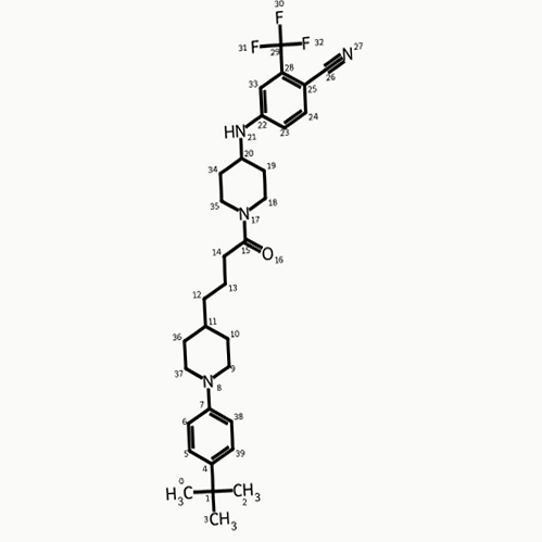 CC(C)(C)c1ccc(N2CCC(CCCC(=O)N3CCC(Nc4ccc(C#N)c(C(F)(F)F)c4)CC3)CC2)cc1